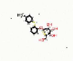 Cc1ccc(Sc2ccccc2O[C@@H]2S[C@H](CO)[C@@H](O)[C@H](O)[C@H]2O)cc1